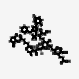 CC(C)[C@H](NC(=O)CCCC(=O)ON1C(=O)CCC1=O)C(=O)N[C@@H](C)C(=O)N[C@@H](CCN(C(=O)CO)[C@@H](c1cc(-c2cc(F)ccc2F)cn1Cc1ccccc1)C(C)(C)C)C(=O)NCCC(=O)N[C@H](CCC(=O)O)C(=O)O